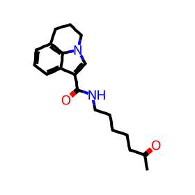 CC(=O)CCCCCNC(=O)c1cn2c3c(cccc13)CCC2